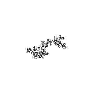 CC(C)C[C@H](NC(=O)[C@H](CO)NC(=O)[C@@H](NC(=O)[C@@H](NC(=O)[C@@H](NC(=O)[C@@H](N)CC(C)C)C(C)C)[C@@H](C)O)C(C)C)C(=O)N1CCC[C@H]1C(=O)NCC(=O)NCC(=O)N[C@@H](CCC(=O)O)C(=O)N[C@@H](CCC(=O)O)C(=O)O